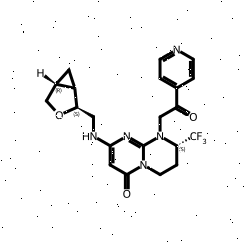 O=C(CN1c2nc(NC[C@H]3OC[C@@H]4CC43)cc(=O)n2CC[C@H]1C(F)(F)F)c1ccncc1